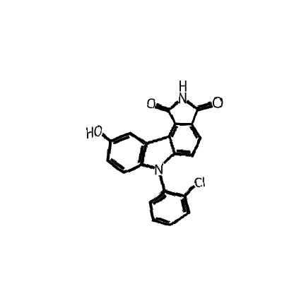 O=C1NC(=O)c2c1ccc1c2c2cc(O)ccc2n1-c1ccccc1Cl